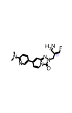 CN(C)c1ccc(-c2ccn3c(=O)n(C/C(=C/F)CN)nc3c2)cn1